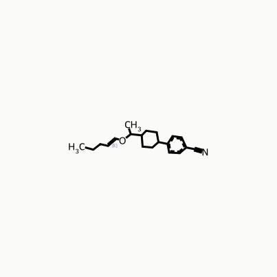 CCC/C=C/OC(C)C1CCC(c2ccc(C#N)cc2)CC1